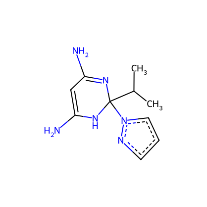 CC(C)C1(n2cccn2)N=C(N)C=C(N)N1